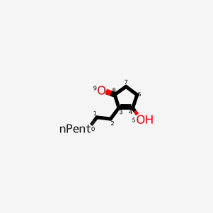 CCCCCCCC1=C(O)CCC1=O